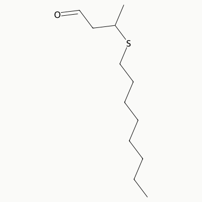 CCCCCCCCSC(C)CC=O